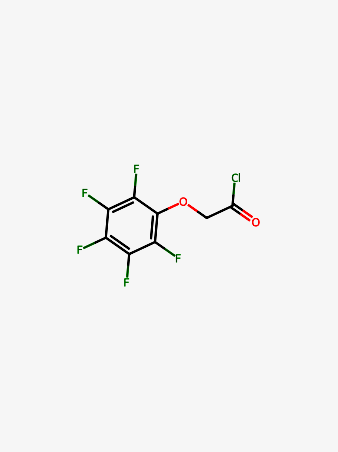 O=C(Cl)COc1c(F)c(F)c(F)c(F)c1F